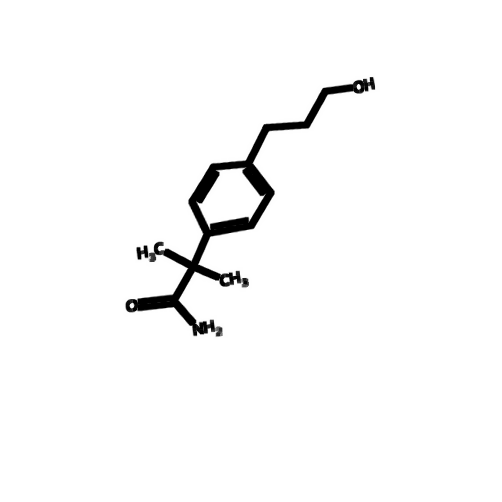 CC(C)(C(N)=O)c1ccc(CCCO)cc1